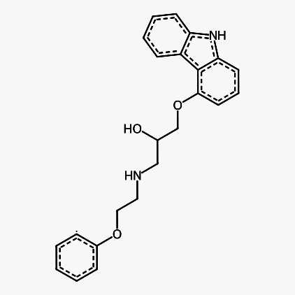 OC(CNCCOc1[c]cccc1)COc1cccc2[nH]c3ccccc3c12